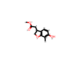 COC(=O)CC1COc2c1ccc(O)c2C